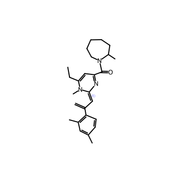 C=C(/C=C1/N=C(C(=O)N2CCCCCC2C)C=C(CC)N1C)c1ccc(C)cc1C